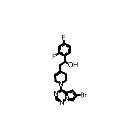 OC(CC1=CCN(c2ncnn3cc(Br)cc23)CC1)c1ccc(F)cc1F